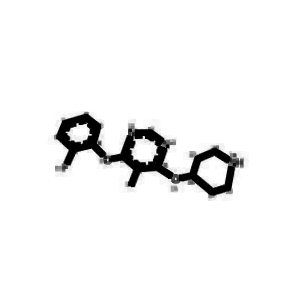 Cc1c(Oc2ccccc2F)ncnc1OC1CCNCC1